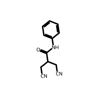 N#CCC(CC#N)C(=O)Nc1ccccc1